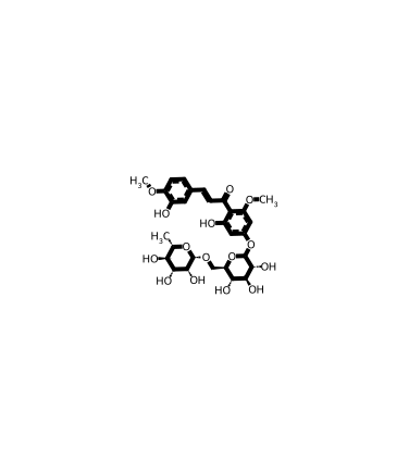 COc1ccc(/C=C/C(=O)c2c(O)cc(OC3O[C@H](CO[C@H]4O[C@@H](C)[C@H](O)[C@@H](O)[C@H]4O)[C@@H](O)[C@H](O)[C@H]3O)cc2OC)cc1O